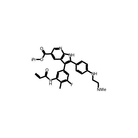 C=CC(=O)Nc1cc(-c2c(-c3ccc(NCCNC)cc3)[nH]c3ncc(C(=O)OC(C)C)cc23)cc(F)c1C